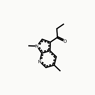 CCC(=O)c1cn(C)c2ncc(C)cc12